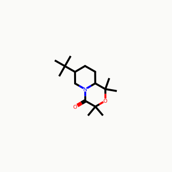 CC1(C)OC(C)(C)C2CCC(C(C)(C)C)CN2C1=O